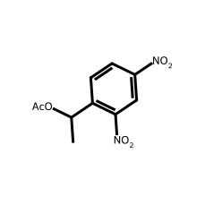 CC(=O)OC(C)c1ccc([N+](=O)[O-])cc1[N+](=O)[O-]